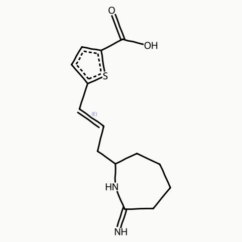 N=C1CCCCC(C/C=C/c2ccc(C(=O)O)s2)N1